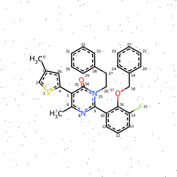 Cc1csc(-c2c(C)nc(-c3cccc(F)c3OCc3ccccc3)n(CCc3ccccc3)c2=O)c1